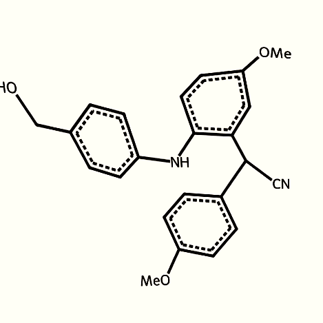 COc1ccc(C(C#N)c2cc(OC)ccc2Nc2ccc(CO)cc2)cc1